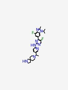 Cc1nc2c(F)cc(-c3nc(Nc4ccc(C(C)N5CCC6(CCNC6)CC5)cn4)ncc3F)cc2n1C(C)C